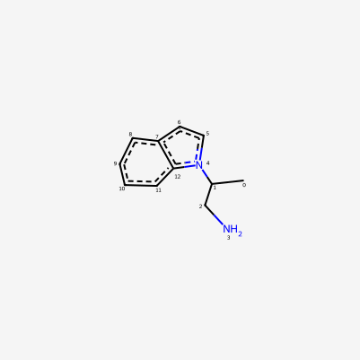 CC(CN)n1c[c]c2ccccc21